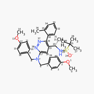 COc1ccc(CN(Cc2ccc(OC)cc2)c2cc([C@H](C)N[S@+]([O-])C(C)(C)C)c(-c3ccccc3C)nn2)cc1